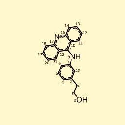 OCCc1cccc(Nc2c3ccccc3nc3ccccc23)c1